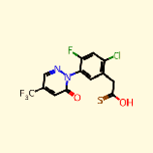 O=c1cc(C(F)(F)F)cnn1-c1cc(CC(O)=S)c(Cl)cc1F